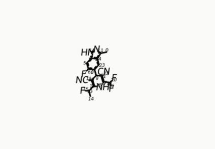 Cc1n[nH]c2cc(F)c(C3C(C#N)=C(C(C)F)NC(C(F)F)=C3C#N)cc12